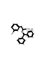 O=C(O)C(Cc1cccc(F)c1)N=C(c1ccccc1)c1ccccc1